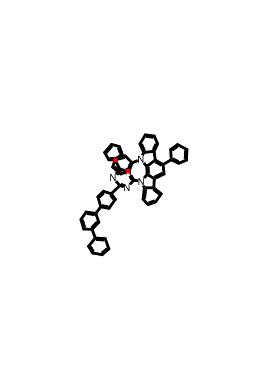 c1ccc(-c2cccc(-c3ccc(-c4nc(-c5ccccc5)nc(-n5c6ccccc6c6cc(-c7ccccc7)c7c8ccccc8n(-c8ccccc8)c7c65)n4)cc3)c2)cc1